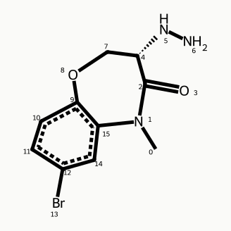 CN1C(=O)[C@@H](NN)COc2ccc(Br)cc21